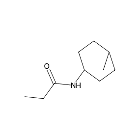 CCC(=O)NC12CCC(CC1)C2